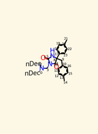 CCCCCCCCCCN(CCCCCCCCCC)CN1C(=O)NC(Cc2ccc(C)cc2)(c2ccc(C)cc2)C1=O